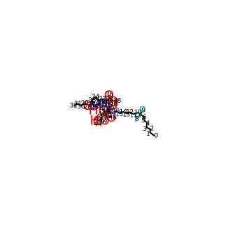 CCCCCCCC(F)(F)CCCCCC/C=C/C(C(=O)N[C@@H](Cc1ccc(OCCCC)cc1)C(=O)OC)C(O)(CCOC)C(=O)O